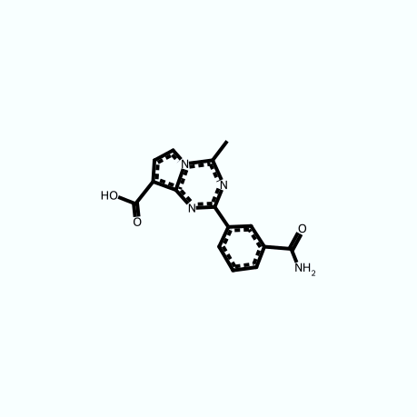 Cc1nc(-c2cccc(C(N)=O)c2)nc2c(C(=O)O)ccn12